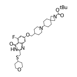 CC(C)(C)OC(=O)N1CC2(CCC(N3CCC(COc4cc(F)c5c(=O)[nH]c(CSC6CCOCC6)nc5c4)CC3)CC2)C1